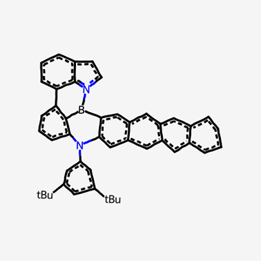 CC(C)(C)c1cc(N2c3cc4cc5cc6ccccc6cc5cc4cc3B3c4c(cccc42)-c2cccc4ccn3c24)cc(C(C)(C)C)c1